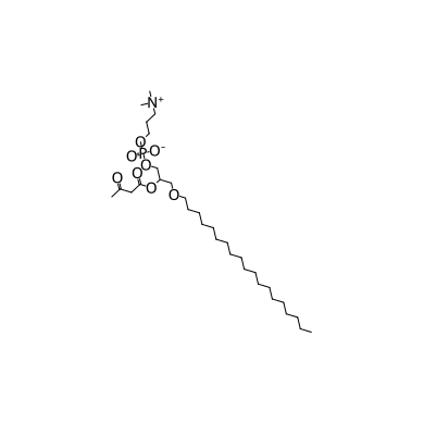 CCCCCCCCCCCCCCCCCCCOCC(COP(=O)([O-])OCCC[N+](C)(C)C)OC(=O)CC(C)=O